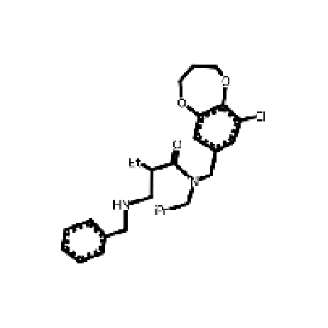 CCC(CNCc1ccccc1)C(=O)N(Cc1cc(Cl)c2c(c1)OCCCO2)CC(C)C